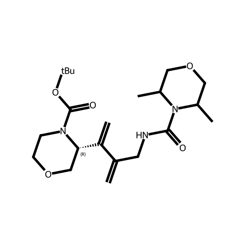 C=C(CNC(=O)N1C(C)COCC1C)C(=C)[C@@H]1COCCN1C(=O)OC(C)(C)C